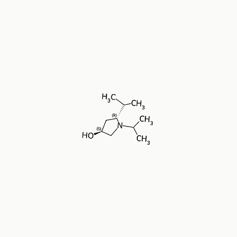 CC(C)[C@H]1C[C@H](O)CN1C(C)C